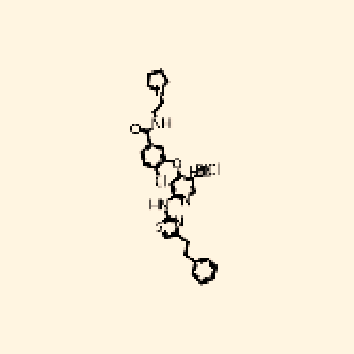 Cl.Cl.O=C(NCCN1CCCC1)c1ccc(Cl)c(Oc2cc(Nc3nc(CCc4ccccc4)cs3)ncc2Br)c1